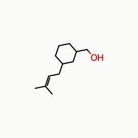 CC(C)=CCC1CCCC(CO)C1